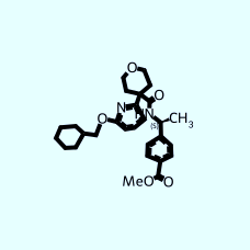 COC(=O)c1ccc([C@H](C)NC(=O)C2(c3cccc(OCC4CCCCC4)n3)CCOCC2)cc1